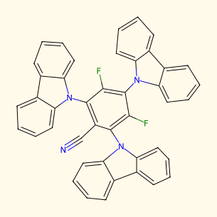 N#Cc1c(-n2c3ccccc3c3ccccc32)c(F)c(-n2c3ccccc3c3ccccc32)c(F)c1-n1c2ccccc2c2ccccc21